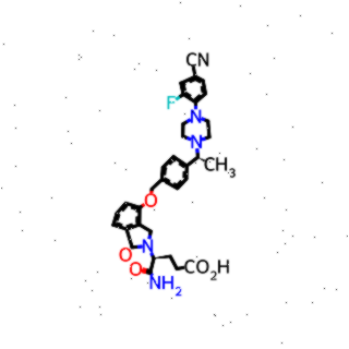 C[C@H](c1ccc(COc2cccc3c2CN([C@@H](CCC(=O)O)C(N)=O)C3=O)cc1)N1CCN(c2ccc(C#N)cc2F)CC1